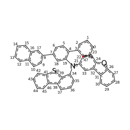 c1ccc(-c2ccc(-c3ccc4ccccc4c3)cc2N(c2ccc3oc4ccccc4c3c2)c2cccc3c2sc2ccccc23)cc1